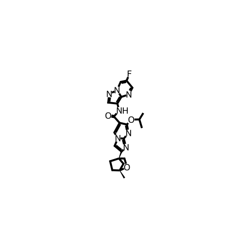 CC(C)Oc1nc2nc([C@]34CC[C@](C)(C3)OC4)cn2cc1C(=O)Nc1cnn2cc(F)cnc12